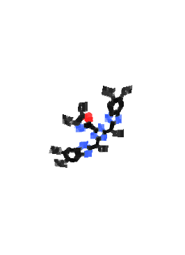 N#CC(=C1N=c2cc(C#N)c(C#N)cc2=N1)c1nc(C(C#N)=C2N=c3cc(C#N)c(C#N)cc3=N2)nc(-c2nc(C#N)c(C#N)o2)n1